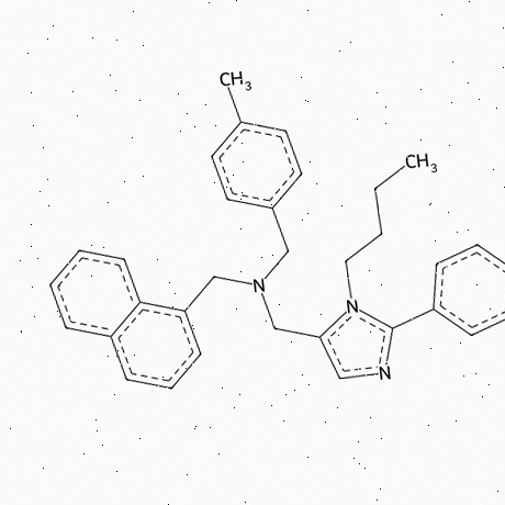 CCCCn1c(CN(Cc2ccc(C)cc2)Cc2cccc3ccccc23)cnc1-c1ccccc1